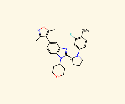 COc1ccc(N2CCC[C@H]2c2nc3cc(-c4c(C)noc4C)ccc3n2C2CCOCC2)cc1F